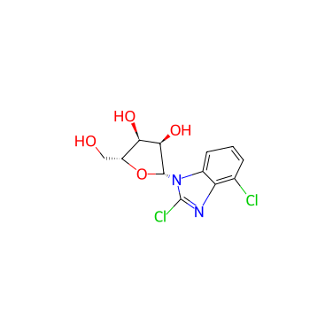 OC[C@H]1O[C@@H](n2c(Cl)nc3c(Cl)cccc32)[C@H](O)[C@@H]1O